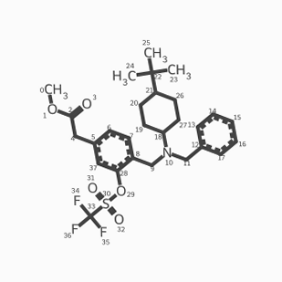 COC(=O)Cc1ccc(CN(Cc2ccccc2)C2CCC(C(C)(C)C)CC2)c(OS(=O)(=O)C(F)(F)F)c1